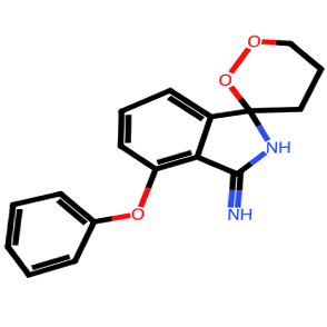 N=C1NC2(CCCOO2)c2cccc(Oc3ccccc3)c21